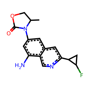 CC1COC(=O)N1c1cc(N)c2cnc(C3CC3F)cc2c1